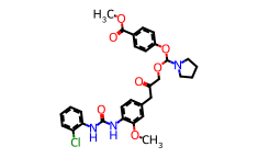 COC(=O)c1ccc(OC(OCC(=O)Cc2ccc(NC(=O)Nc3ccccc3Cl)c(OC)c2)N2CCCC2)cc1